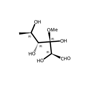 CO[C@@](O)([C@H](O)C=O)[C@H](O)[C@@H](C)O